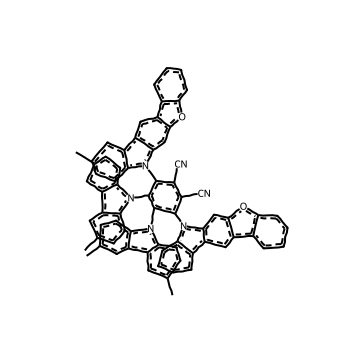 Cc1ccc2c(c1)c1cc(C)ccc1n2-c1c(-n2c3ccccc3c3cc4c(cc32)oc2ccccc24)c(C#N)c(C#N)c(-n2c3ccccc3c3cc4c(cc32)oc2ccccc24)c1-n1c2ccc(C)cc2c2cc(C)ccc21